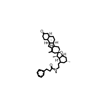 CC1=C2C[C@H]3[C@@H](CC[C@@H]4CC(=O)CC[C@@]43C)[C@@H]2CC[C@@]2(C1)O[C@@H]1C[C@H](C)CC(CCN(C)C(=O)CCc3ccccc3)[C@H]1[C@H]2C